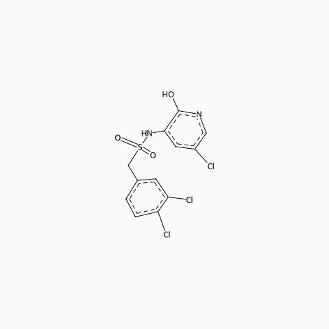 O=S(=O)(Cc1ccc(Cl)c(Cl)c1)Nc1cc(Cl)cnc1O